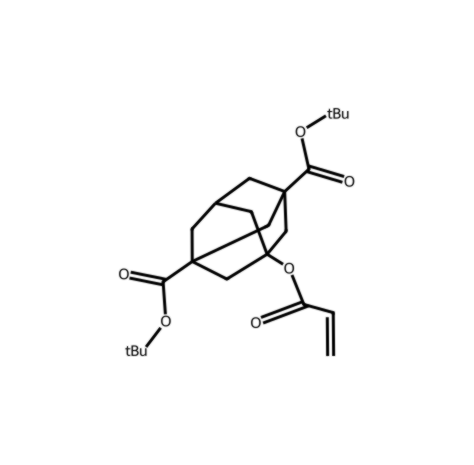 C=CC(=O)OC12CC3CC(C(=O)OC(C)(C)C)(C1)CC(C(=O)OC(C)(C)C)(C3)C2